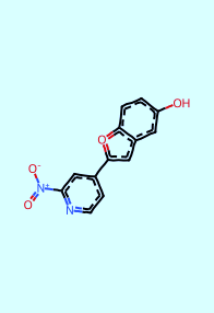 O=[N+]([O-])c1cc(-c2cc3cc(O)ccc3o2)ccn1